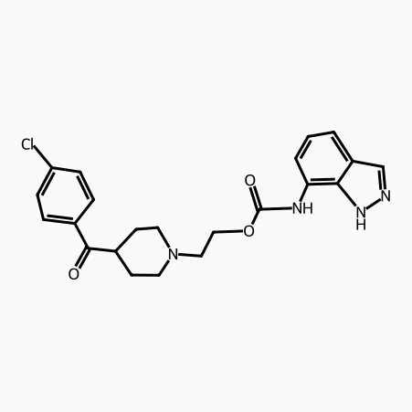 O=C(Nc1cccc2cn[nH]c12)OCCN1CCC(C(=O)c2ccc(Cl)cc2)CC1